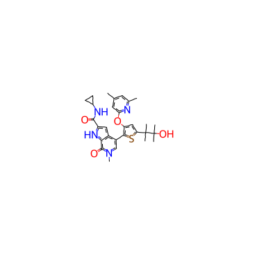 Cc1cc(C)nc(Oc2cc(C(C)(C)C(C)(C)O)sc2-c2cn(C)c(=O)c3[nH]c(C(=O)NC4CC4)cc23)c1